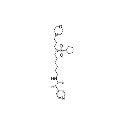 O=S(=O)(C1CCCC1)N(CCCCCCNC(=S)Nc1ccncc1)CCCN1CCOCC1